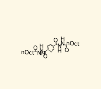 CCCCCCCCC(=O)NNC(=O)c1ccc(C(=O)NNC(=O)CCCCCCCC)cc1